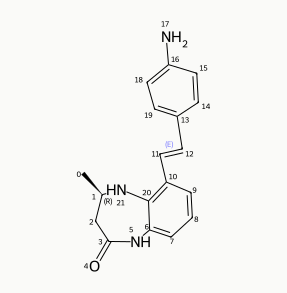 C[C@@H]1CC(=O)Nc2cccc(/C=C/c3ccc(N)cc3)c2N1